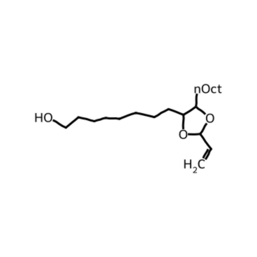 C=CC1OC(CCCCCCCC)C(CCCCCCCCO)O1